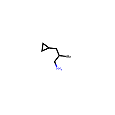 CC(C)(C)C(CN)CC1CC1